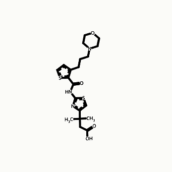 CC(C)(CC(=O)O)c1csc(NC(=O)c2sccc2CCCN2CCOCC2)n1